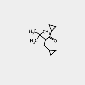 CC(C)(C)C(CC1CC1)C(=O)C1CC1